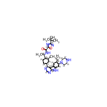 Cc1cc(-c2ncnc3[nH]c4cc(N5CCNCC5)c(C)cc4c23)ccc1[C@@H](C)NC(=O)c1nc(C(C)(C)C)no1